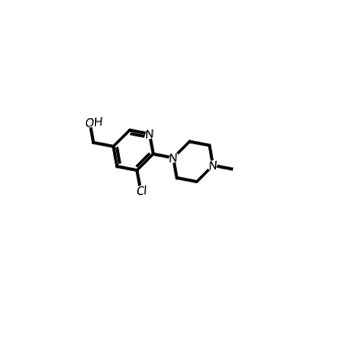 CN1CCN(c2ncc(CO)cc2Cl)CC1